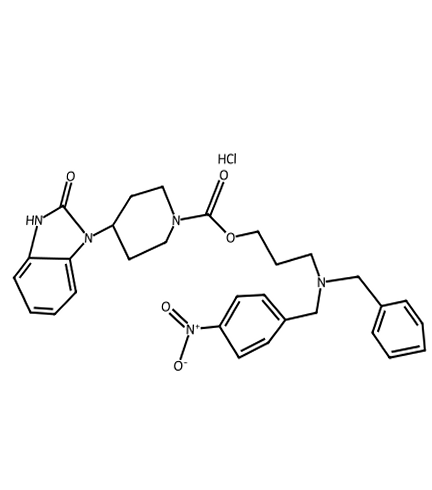 Cl.O=C(OCCCN(Cc1ccccc1)Cc1ccc([N+](=O)[O-])cc1)N1CCC(n2c(=O)[nH]c3ccccc32)CC1